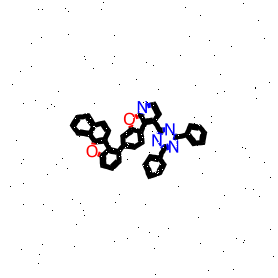 c1ccc(-c2nc(-c3ccccc3)nc(-c3ccnc4oc5cc(-c6cccc7oc8c9ccccc9ccc8c67)ccc5c34)n2)cc1